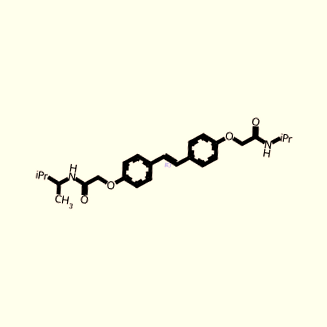 CC(C)NC(=O)COc1ccc(/C=C/c2ccc(OCC(=O)NC(C)C(C)C)cc2)cc1